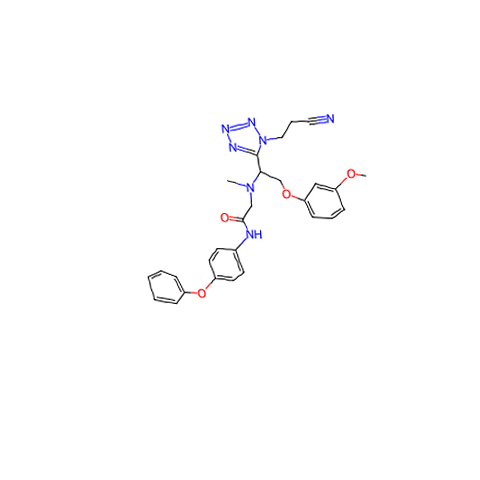 COc1cccc(OCC(c2nnnn2CCC#N)N(C)CC(=O)Nc2ccc(Oc3ccccc3)cc2)c1